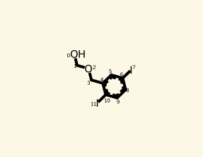 OCOCc1cc(I)ccc1I